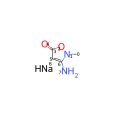 Cn1oc(=O)cc1N.[NaH]